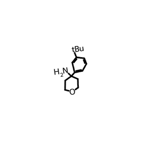 CC(C)(C)c1cccc(C2(N)CCOCC2)c1